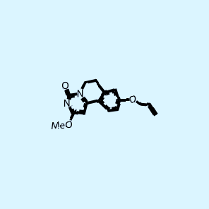 C=CCOc1ccc2c(c1)CCn1c-2cc(OC)nc1=O